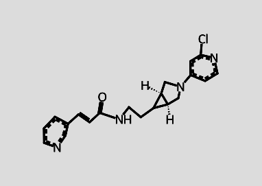 O=C(/C=C/c1cccnc1)NCCC1[C@H]2CN(c3ccnc(Cl)c3)C[C@@H]12